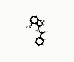 O=C(Nc1n[nH]c2cccc([N+](=O)[O-])c12)c1ccccc1